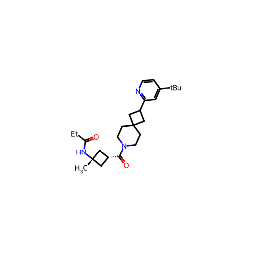 CCC(=O)N[C@]1(C)C[C@H](C(=O)N2CCC3(CC2)CC(c2cc(C(C)(C)C)ccn2)C3)C1